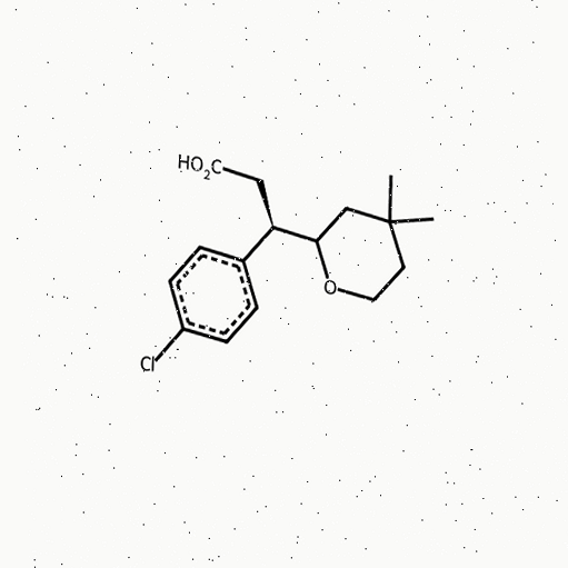 CC1(C)CCOC([C@H](CC(=O)O)c2ccc(Cl)cc2)C1